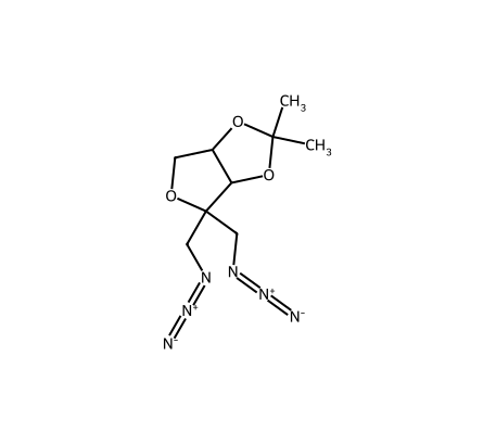 CC1(C)OC2COC(CN=[N+]=[N-])(CN=[N+]=[N-])C2O1